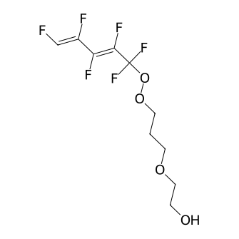 OCCOCCCOOC(F)(F)/C(F)=C(F)/C(F)=C/F